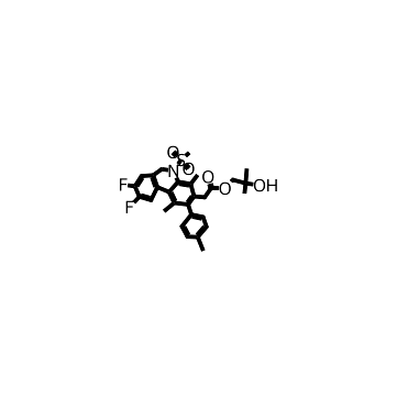 Cc1ccc(-c2c(C)c3c(c(C)c2CC(=O)OCC(C)(C)O)N(S(C)(=O)=O)Cc2cc(F)c(F)cc2-3)cc1